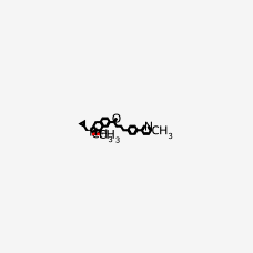 Cc1ccc(-c2ccc(CCCC(=O)c3ccc4c(c3)[C@@]3(C)CC[C@@H](CC5CC5)C(C4)[C@@H]3C)cc2)cn1